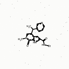 CCNC(=O)c1cc2c(C(C)c3cccnc3)cn(C)c(=O)c2[nH]1